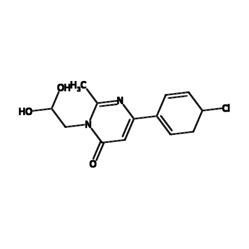 Cc1nc(C2=CCC(Cl)C=C2)cc(=O)n1CC(O)O